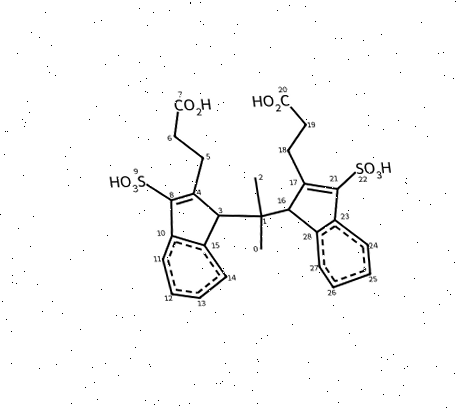 CC(C)(C1C(CCC(=O)O)=C(S(=O)(=O)O)c2ccccc21)C1C(CCC(=O)O)=C(S(=O)(=O)O)c2ccccc21